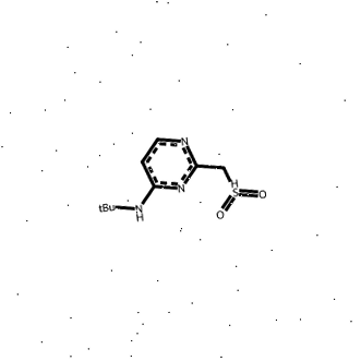 CC(C)(C)Nc1ccnc(C[SH](=O)=O)n1